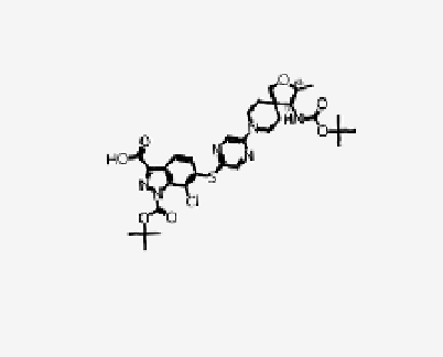 C[C@@H]1OCC2(CCN(c3cnc(Sc4ccc5c(C(=O)O)nn(C(=O)OC(C)(C)C)c5c4Cl)cn3)CC2)[C@@H]1NC(=O)OC(C)(C)C